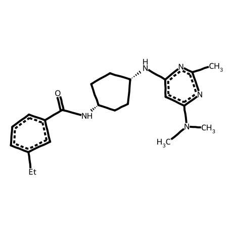 CCc1cccc(C(=O)N[C@H]2CC[C@@H](Nc3cc(N(C)C)nc(C)n3)CC2)c1